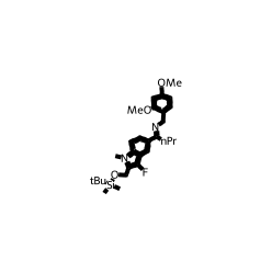 CCC/C(=N\Cc1ccc(OC)cc1OC)c1ccc2c(c1)c(F)c(CO[Si](C)(C)C(C)(C)C)n2C